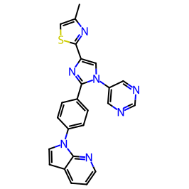 Cc1csc(-c2cn(-c3cncnc3)c(-c3ccc(-n4ccc5cccnc54)cc3)n2)n1